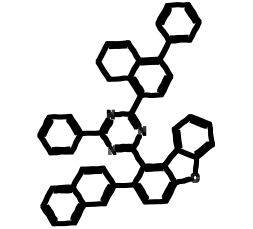 C1=Cc2c(-c3ccccc3)ccc(-c3nc(-c4ccccc4)nc(-c4c(-c5ccc6ccccc6c5)ccc5oc6ccccc6c45)n3)c2CC1